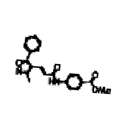 COC(=O)c1ccc(NC(=O)C=Cc2c(C)noc2-c2ccccc2)cc1